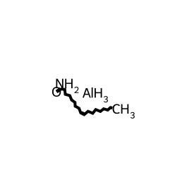 CCCCCCCC/C=C\CCCCCCCC(N)=O.[AlH3]